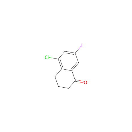 O=C1CCCc2c(Cl)cc(I)cc21